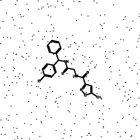 Cc1cc(C(=O)NCC(=O)NC(c2ccccc2)c2ccc(Cl)cc2)no1